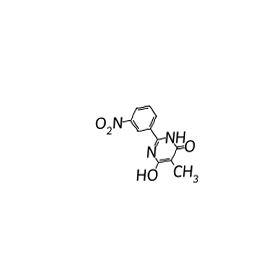 Cc1c(O)nc(-c2cccc([N+](=O)[O-])c2)[nH]c1=O